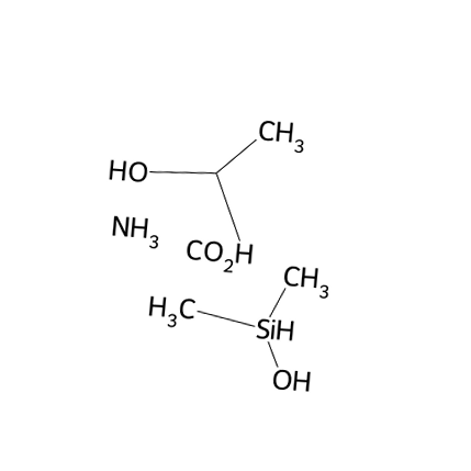 CC(O)C(=O)O.C[SiH](C)O.N